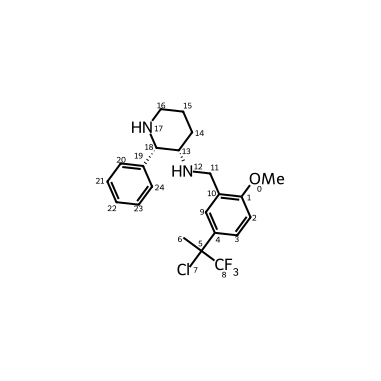 COc1ccc(C(C)(Cl)C(F)(F)F)cc1CN[C@H]1CCCN[C@H]1c1ccccc1